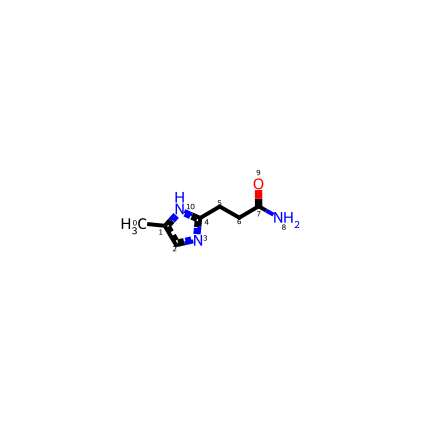 Cc1cnc(CCC(N)=O)[nH]1